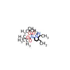 C=Cc1ccc(N(C(=O)OC(C)(C)C)C(=O)OC(C)(C)C)n2cnc(C)c12